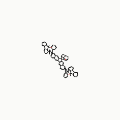 CC1(C)c2ccccc2-c2cccc(N(c3ccccc3)c3ccc4cc5c(cc4c3)C3(c4cc6cc(N(c7ccccc7)c7cccc8c7C(C)(C)c7ccccc7-8)ccc6cc4-5)C4CC5CC(C4)CC3C5)c21